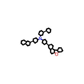 c1ccc(-c2cccc(N(c3ccc(-c4ccc5ccccc5c4)cc3)c3ccc(-c4ccc5c(ccc6oc7ccccc7c65)c4)cc3)c2)cc1